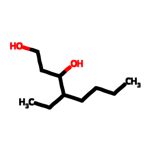 CCCCC(CC)C(O)CCO